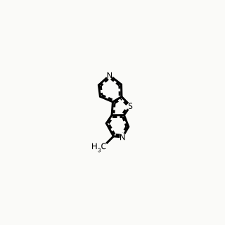 Cc1cc2c(cn1)sc1cnccc12